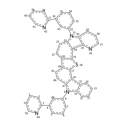 c1ccc(-c2cccc(-n3c4ccccc4c4c5sc6c(ccc7c6c6ncccc6n7-c6cccc(-c7ccccn7)c6)c5ccc43)c2)nc1